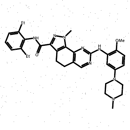 CCc1cccc(CC)c1NC(=O)c1nn(C)c2c1CCc1cnc(Nc3cc(N4CCN(C)CC4)ccc3OC)nc1-2